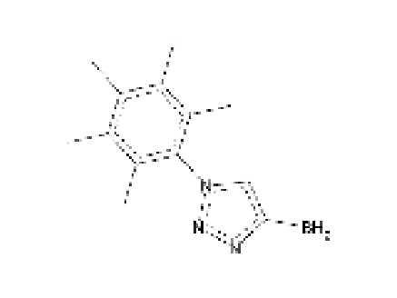 Bc1cn(-c2c(C)c(C)c(C)c(C)c2C)nn1